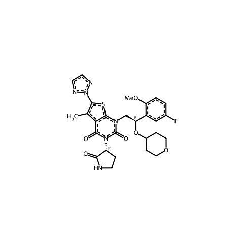 COc1ccc(F)cc1[C@H](Cn1c(=O)n([C@@H]2CCNC2=O)c(=O)c2c(C)c(-n3nccn3)sc21)OC1CCOCC1